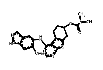 COc1cc2[nH]ncc2cc1Nc1ncnc2sc3c(c12)CCC(OC(=O)N(C)C)C3